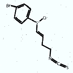 [O-][S+](/C=C/CCN=C=S)c1ccc(Br)cc1